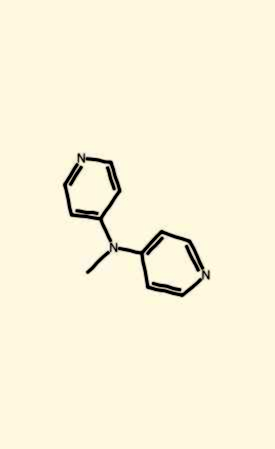 CN(c1ccncc1)c1ccncc1